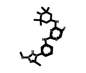 CON1N=C(C)N(c2cccc(Nc3ncc(F)c(NC4CC(C)(C)N(C)C(C)(C)C4)n3)c2)N1